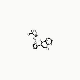 CC(=O)NCCn1cccc1C1=CC(=O)c2ncccc2C1=O